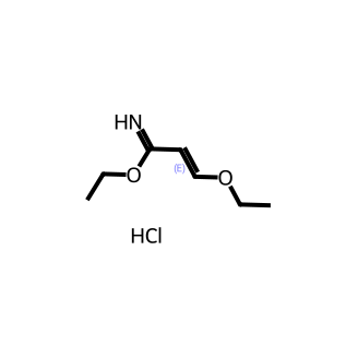 CCO/C=C/C(=N)OCC.Cl